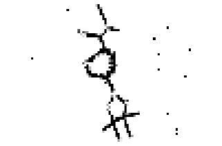 CN(C)C(=O)c1ncc(B2OC(C)(C)C(C)(C)O2)cn1